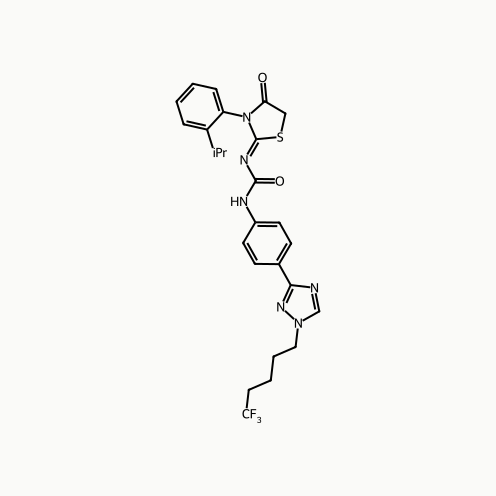 CC(C)c1ccccc1N1C(=O)CSC1=NC(=O)Nc1ccc(-c2ncn(CCCCC(F)(F)F)n2)cc1